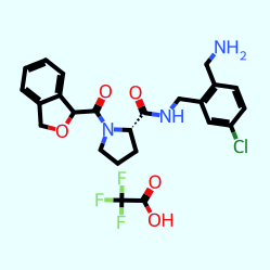 NCc1ccc(Cl)cc1CNC(=O)[C@@H]1CCCN1C(=O)C1OCc2ccccc21.O=C(O)C(F)(F)F